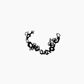 CC1(C(=O)Nc2ccc(N3CCC(CN4CCN(c5ccc6c(c5)C(=O)N(C5CCC(=O)NC5=O)C6)CC4)CC3)nn2)CCC(Oc2ccc(C#N)c(Cl)c2)CC1